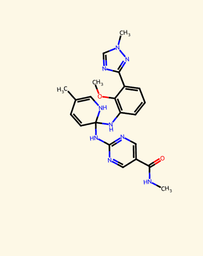 CNC(=O)c1cnc(NC2(Nc3cccc(-c4ncn(C)n4)c3OC)C=CC(C)=CN2)nc1